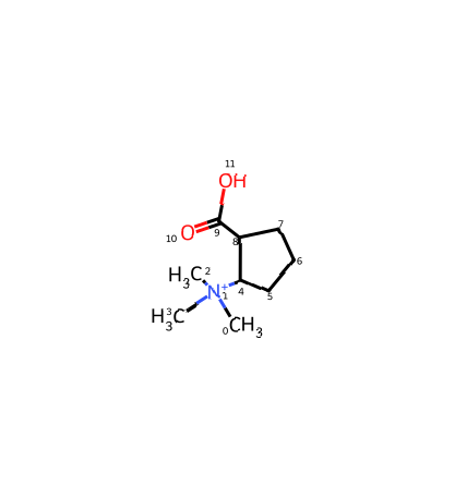 C[N+](C)(C)C1CCCC1C(=O)O